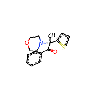 CC(C(=O)c1ccccc1)(c1cccs1)N1CCOCC1